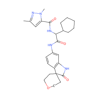 Cc1cc(C(=O)NC(C(=O)Nc2ccc3c(c2)NC(=O)C32CCOCC2)C2CCCCC2)n(C)n1